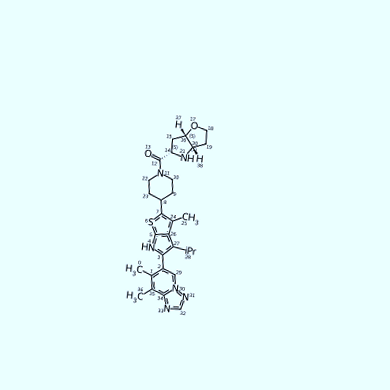 Cc1c(-c2[nH]c3sc(C4CCN(C(=O)[C@@H]5C[C@@H]6OCC[C@@H]6N5)CC4)c(C)c3c2C(C)C)cn2ncnc2c1C